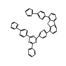 c1ccc(-c2ccc(-c3nc(-c4ccccc4)nc(-c4ccc(-c5cccc6c5sc5c(-c7ccc(-c8ccccc8)cc7)cccc56)cc4)n3)cc2)cc1